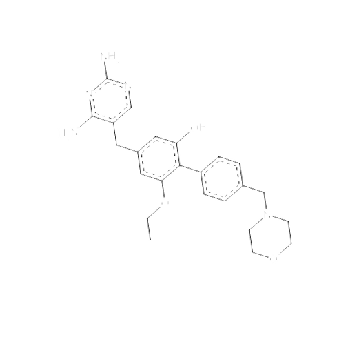 CCOc1cc(Cc2cnc(N)nc2N)cc(O)c1-c1ccc(CN2CCOCC2)cc1